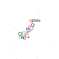 COC(=O)c1ccc2c(c1)Oc1ncc(OCc3c(-c4c(Cl)cccc4Cl)noc3C3CC3)cc1CC2